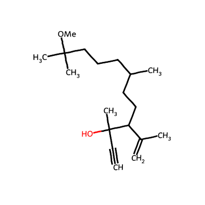 C#CC(C)(O)C(CCC(C)CCCC(C)(C)OC)C(=C)C